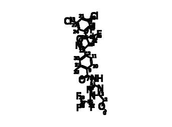 COCc1nc(NC(=O)c2ccc(C3=NOC(c4cc(Cl)cc(Cl)c4)(C(F)(F)F)C3)cc2C)nn1C(F)C(F)F